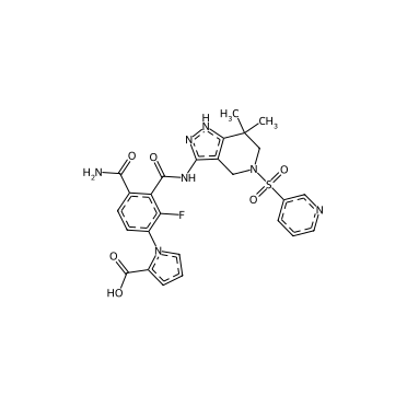 CC1(C)CN(S(=O)(=O)c2cccnc2)Cc2c(NC(=O)c3c(C(N)=O)ccc(-n4cccc4C(=O)O)c3F)n[nH]c21